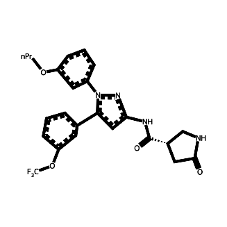 CCCOc1cccc(-n2nc(NC(=O)[C@@H]3CNC(=O)C3)cc2-c2cccc(OC(F)(F)F)c2)c1